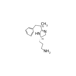 C[C@@H](Cc1ccccc1)C1=NC[C@H](CCCN)N1